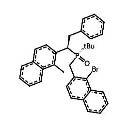 Cc1c([C@@H](Cc2ccccc2)[P@@](=O)(Cc2ccc3ccccc3c2Br)C(C)(C)C)ccc2ccccc12